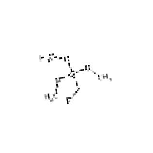 CO[Si](CF)(OC)OC